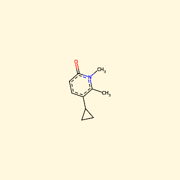 Cc1c(C2CC2)ccc(=O)n1C